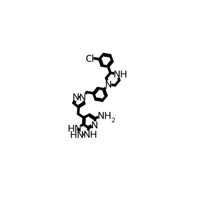 Nc1cc(Cc2cnn(Cc3cccc(N4CCNC(c5cccc(Cl)c5)C4)c3)c2)c2c(n1)NNN2